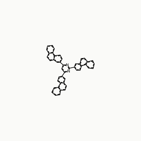 c1ccc2c(c1)ccc1cc(-c3cc(-c4ccc5c(ccc6ccccc65)c4)nc(-c4ccc5c(ccc6ccccc65)c4)n3)ccc12